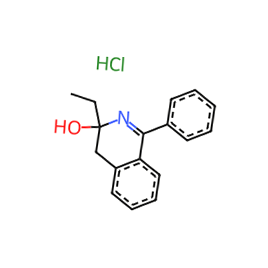 CCC1(O)Cc2ccccc2C(c2ccccc2)=N1.Cl